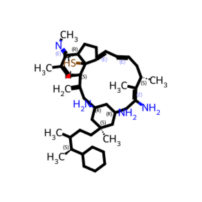 C=C1C[C@]2(N)C[C@](C)(CCC(C)[C@H](C)C3CCCCC3)C[C@](N)(C/C(N)=C(\C)[C@@H](C)C/C=C/C=C3\CC[C@@H]4/C(=N\C)C(C)=C[C@@H]1C34S)C2